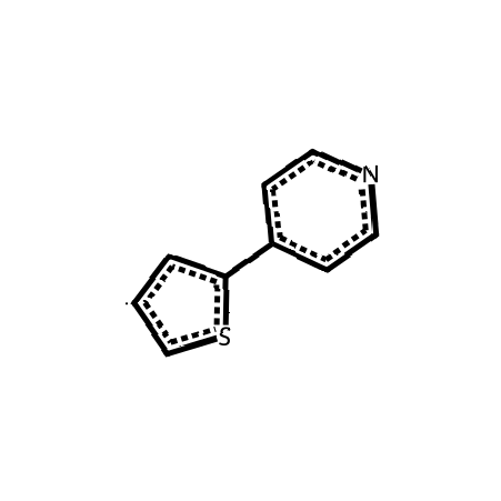 [c]1csc(-c2ccncc2)c1